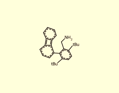 CC(C)(C)c1ccc(C(C)(C)C)c(-c2cccc3c2=c2ccccc2=3)c1CN